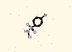 CCNS(=O)(=O)c1ccc(Br)cc1